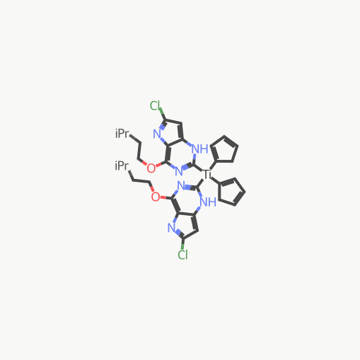 CC(C)CCOc1n[c]([Ti]([C]2=CC=CC2)([C]2=CC=CC2)[c]2nc(OCCC(C)C)c3nc(Cl)cc-3[nH]2)[nH]c2cc(Cl)nc1-2